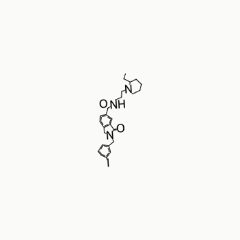 CCC1CCCCN1CCCNC(=O)c1ccc2c(c1)C(=O)N(Cc1cccc(I)c1)C2